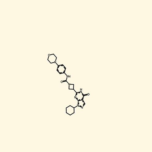 O=C(Nc1ccc(N2CCOCC2)cc1)N1CC(c2nc3c(cnn3C3CCCCC3)c(=O)[nH]2)C1